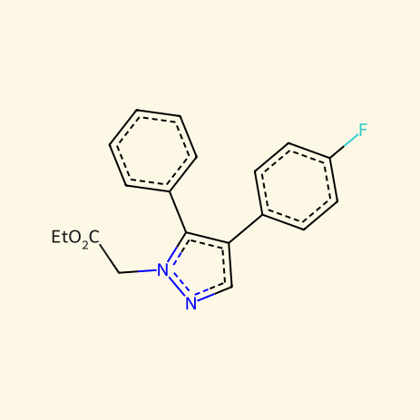 CCOC(=O)Cn1ncc(-c2ccc(F)cc2)c1-c1ccccc1